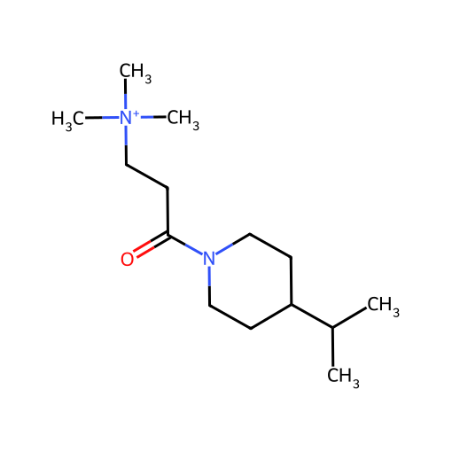 CC(C)C1CCN(C(=O)CC[N+](C)(C)C)CC1